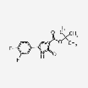 CC(C)(C)OC(=O)n1cc(-c2ccc(F)c(F)c2)[nH]c1=O